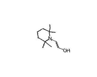 CC1(C)CCCC(C)(C)N1C=CO